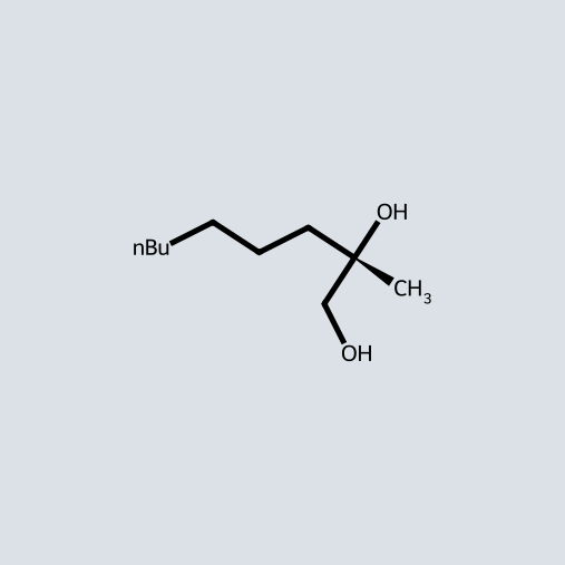 CCCCCCC[C@](C)(O)CO